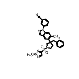 Cc1cc2c(cnn2-c2cccc(C#N)c2)cc1C1(Cc2ccccc2)CCN(S(=O)(=O)c2cnn(C)n2)C1